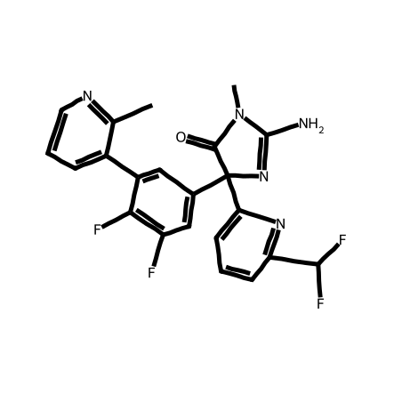 Cc1ncccc1-c1cc(C2(c3cccc(C(F)F)n3)N=C(N)N(C)C2=O)cc(F)c1F